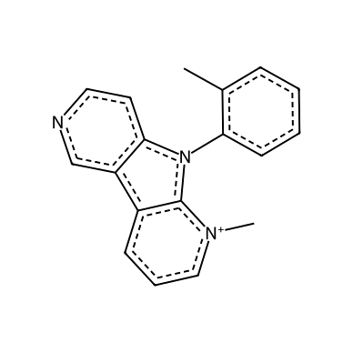 Cc1ccccc1-n1c2ccncc2c2ccc[n+](C)c21